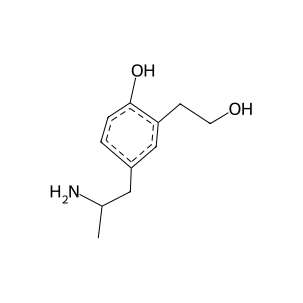 CC(N)Cc1ccc(O)c(CCO)c1